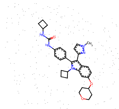 Cn1ccc(-c2c(-c3ccc(NC(=O)NC4CCC4)cc3)n(C3CCC3)c3cc(OC4CCOCC4)ccc23)n1